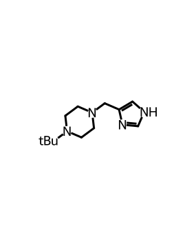 CC(C)(C)N1CCN(Cc2c[nH]cn2)CC1